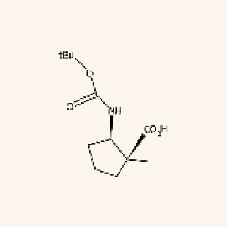 CC(C)(C)OC(=O)N[C@@H]1CCC[C@]1(C)C(=O)O